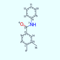 Cc1ccc(C(=O)Nc2c[c]ccc2)cc1C